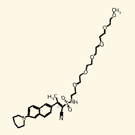 COCCOCCOCCOCCOCCOCCNS(=O)(=O)/C(C#N)=C(\C)c1ccc2cc(N3CCCCC3)ccc2c1